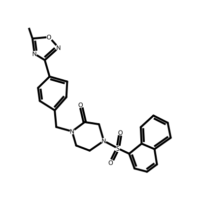 Cc1nc(-c2ccc(CN3CCN(S(=O)(=O)c4cccc5ccccc45)CC3=O)cc2)no1